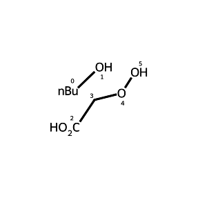 CCCCO.O=C(O)COO